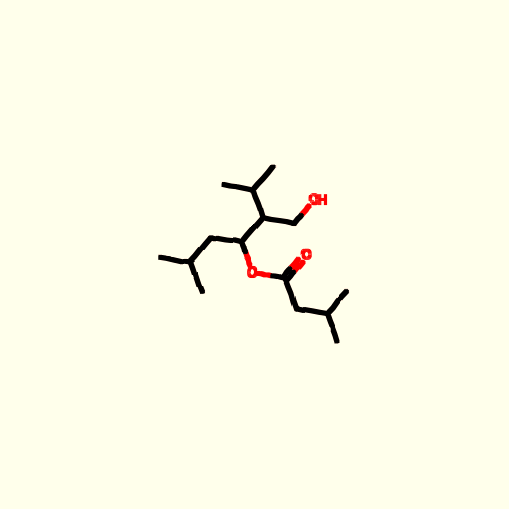 CC(C)CC(=O)OC(CC(C)C)C(CO)C(C)C